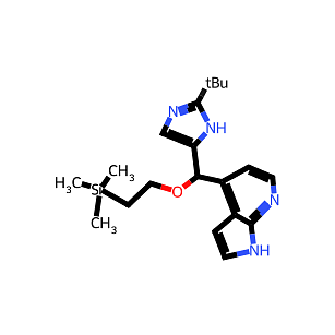 CC(C)(C)c1ncc(C(OCC[Si](C)(C)C)c2ccnc3[nH]ccc23)[nH]1